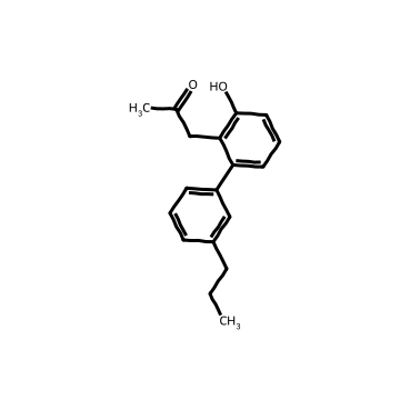 CCCc1cccc(-c2cccc(O)c2CC(C)=O)c1